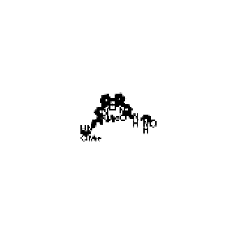 COc1nc(-c2cccc(-c3cccc(-c4ccc5c(CCNC[C@H](C)OC)c[nH]c5n4)c3Cl)c2Cl)ccc1CNC[C@@H]1CCC(=O)N1